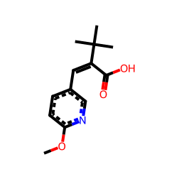 COc1ccc(C=C(C(=O)O)C(C)(C)C)cn1